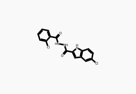 O=C(NNC(=O)c1ccccc1Cl)c1cc2cc(Cl)ccc2[nH]1